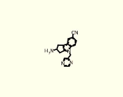 N#Cc1ccc2c(c1)c1c(n2Cc2cnccn2)CC(N)C1